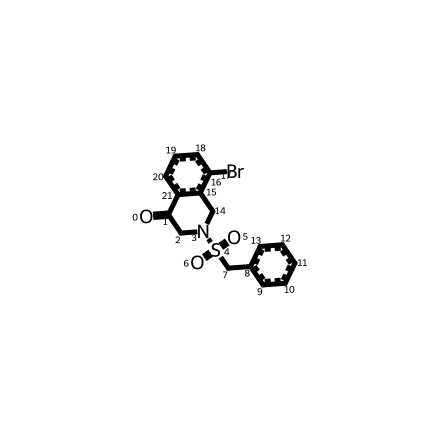 O=C1CN(S(=O)(=O)Cc2ccccc2)Cc2c(Br)cccc21